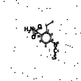 CCc1cc(N=C=S)ccc1S(N)(=O)=O